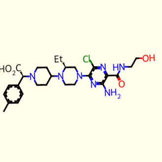 CC[C@H]1CN(c2nc(N)c(C(=O)NCCO)nc2Cl)CCN1C1CCN([C@H](C(=O)O)c2ccc(C)cc2)CC1